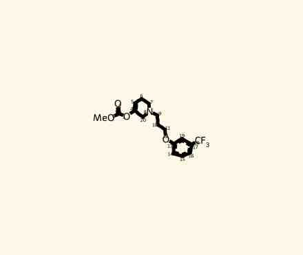 COC(=O)OC1=CCCN(CCCOc2cccc(C(F)(F)F)c2)C1